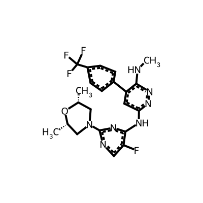 CNc1nnc(Nc2nc(N3C[C@@H](C)O[C@@H](C)C3)ncc2F)cc1-c1ccc(C(F)(F)F)cc1